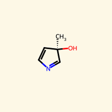 C[C@@]1(O)C=CN=C1